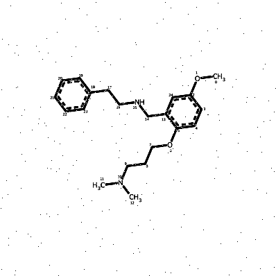 COc1ccc(OCCCN(C)C)c(CNCCc2ccccc2)c1